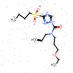 C=CCN(CCCOCC)C(=O)n1cnc(S(=O)(=O)CCCC)n1